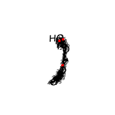 C=CC(CCCCCOc1ccc(-c2ccc(O)c(F)c2F)c(F)c1)CCCCCOc1ccc(-c2ccc(OCC)c(F)c2F)c(F)c1